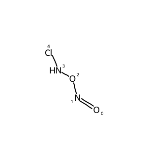 O=NONCl